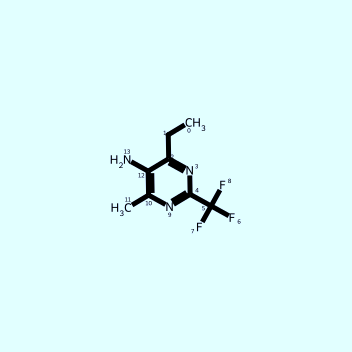 CCc1nc(C(F)(F)F)nc(C)c1N